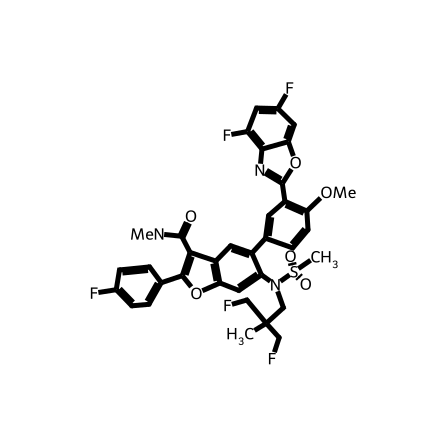 CNC(=O)c1c(-c2ccc(F)cc2)oc2cc(N(CC(C)(CF)CF)S(C)(=O)=O)c(-c3ccc(OC)c(-c4nc5c(F)cc(F)cc5o4)c3)cc12